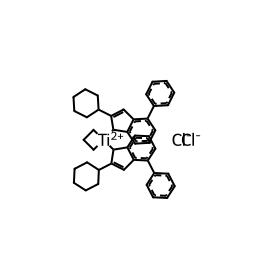 C1=C(C2CCCCC2)[CH]([Ti+2]2([CH]3C(C4CCCCC4)=Cc4c(-c5ccccc5)cccc43)[CH2]C[CH2]2)c2cccc(-c3ccccc3)c21.[Cl-].[Cl-]